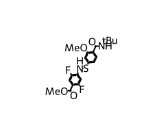 COC(=O)c1cc(F)c(NSc2ccc(C(=O)NC(C)(C)C)c(OC)c2)cc1F